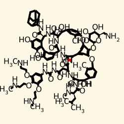 CNCCOc1cc(NC(=O)NC(=O)C[C@@H]2NC(=O)[C@H](NC(=O)[C@@H](CC(C)C)NC)[C@H](O)c3ccc(c(C)c3)Oc3cc4cc(c3O[C@@H]3O[C@H](CN)[C@@H](O)[C@H](O)[C@H]3O)Oc3ccc(cc3Cl)[C@@H](O)[C@@H]3NC(=O)[C@H](NC(=O)[C@@H]4NC2=O)c2ccc(O)c(c2)-c2c(O)cc(O)cc2[C@@H](C(=O)NC2C4CC5CC(C4)CC2C5)NC3=O)cc(OCCNC)c1OCCNC